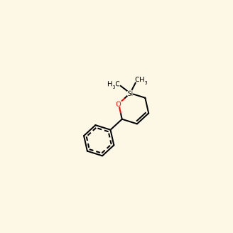 C[Si]1(C)CC=CC(c2ccccc2)O1